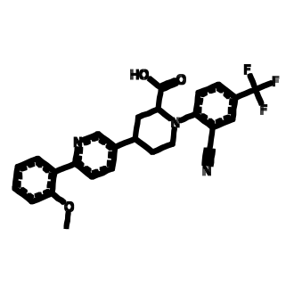 COc1ccccc1-c1ccc(C2CCN(c3ccc(C(F)(F)F)cc3C#N)C(C(=O)O)C2)cn1